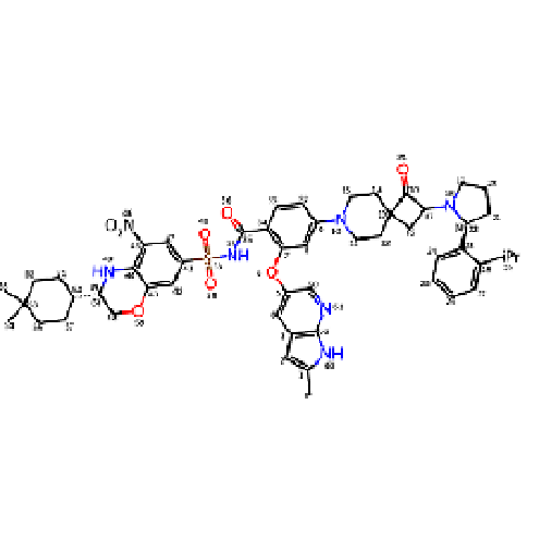 Cc1cc2cc(Oc3cc(N4CCC5(CC4)CC(N4CCC[C@H]4c4ccccc4C(C)C)C5=O)ccc3C(=O)NS(=O)(=O)c3cc4c(c([N+](=O)[O-])c3)N[C@@H](C3CCC(C)(C)CC3)CO4)cnc2[nH]1